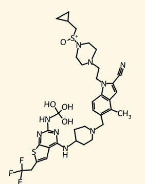 Cc1c(CN2CCC(Nc3nc(NC(O)(O)O)nc4sc(CC(F)(F)F)cc34)CC2)ccc2c1cc(C#N)n2CCN1CCN([S+]([O-])CC2CC2)CC1